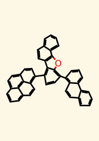 c1ccc2c(c1)ccc1c(-c3ccc(-c4ccc5ccc6cccc7ccc4c5c67)c4c3oc3c5ccccc5ccc34)cccc12